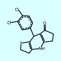 O=C1CCC2=C1C(c1ccc(Cl)c(Cl)c1)C1=C(CCS1)N2